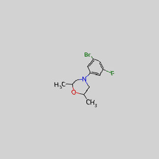 CC1CN(c2cc(F)cc(Br)c2)CC(C)O1